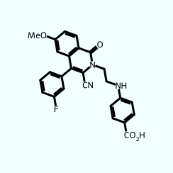 COc1ccc2c(=O)n(CCNc3ccc(C(=O)O)cc3)c(C#N)c(-c3cccc(F)c3)c2c1